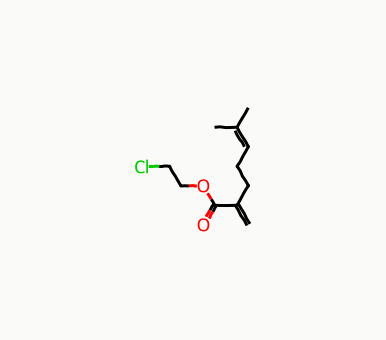 C=C(CCC=C(C)C)C(=O)OCCCl